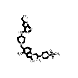 Cc1c(CN2CCC(Nc3ncnc4sc(CC(F)(F)F)cc34)CC2)ccc2c1cc(C#N)n2CC(C)N1CCN(S(C)(=O)=O)CC1